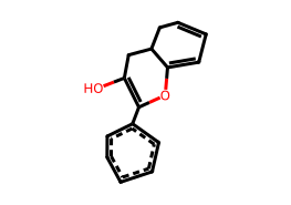 OC1=C(c2ccccc2)OC2=CC=CCC2C1